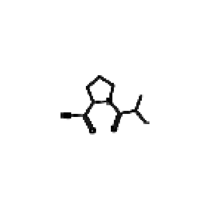 [CH2]C(C)C(=O)N1CCCC1C(=O)O